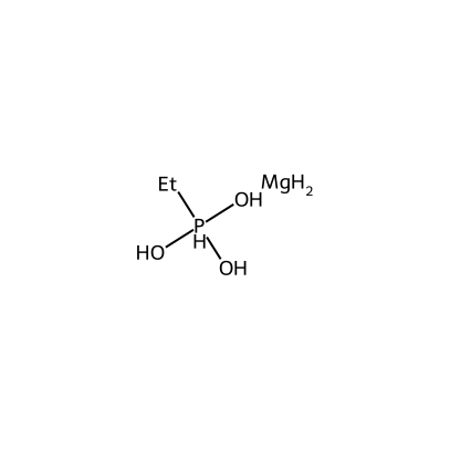 CC[PH](O)(O)O.[MgH2]